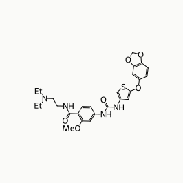 CCN(CC)CCNC(=O)c1ccc(NC(=O)Nc2csc(Oc3ccc4c(c3)OCO4)c2)cc1OC